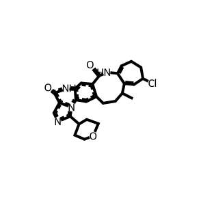 CC1CCc2cc3c(cc2C(=O)NC2=CCCC(Cl)C=C21)[nH]c(=O)c1cnc(C2CCOCC2)n13